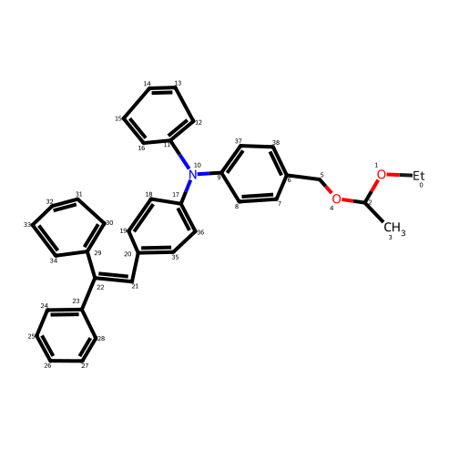 CCOC(C)OCc1ccc(N(c2ccccc2)c2ccc(C=C(c3ccccc3)c3ccccc3)cc2)cc1